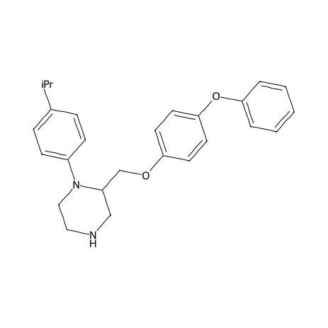 CC(C)c1ccc(N2CCNCC2COc2ccc(Oc3ccccc3)cc2)cc1